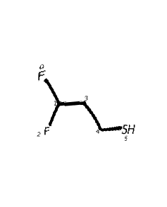 FC(F)CCS